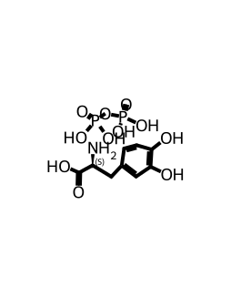 N[C@@H](Cc1ccc(O)c(O)c1)C(=O)O.O=P(O)(O)OP(=O)(O)O